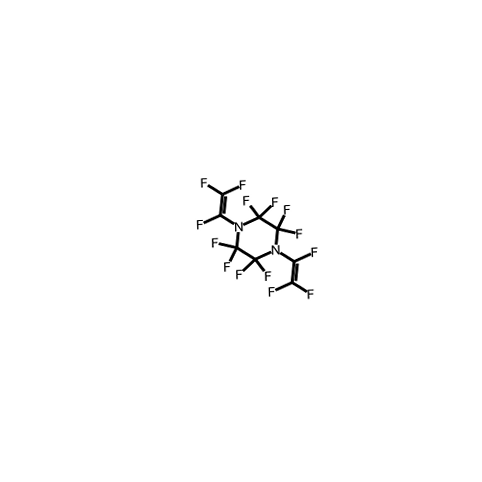 FC(F)=C(F)N1C(F)(F)C(F)(F)N(C(F)=C(F)F)C(F)(F)C1(F)F